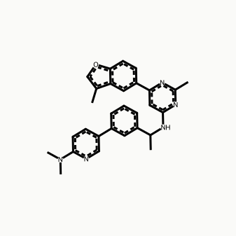 Cc1nc(NC(C)c2cccc(-c3ccc(N(C)C)nc3)c2)cc(-c2ccc3occ(C)c3c2)n1